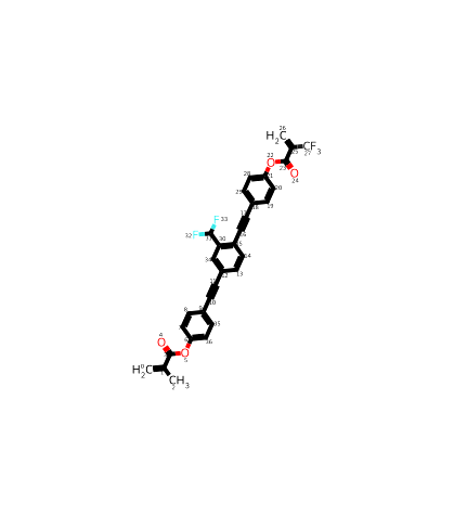 C=C(C)C(=O)Oc1ccc(C#Cc2ccc(C#Cc3ccc(OC(=O)C(=C)C(F)(F)F)cc3)c(C(F)F)c2)cc1